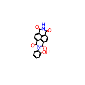 O=C1NC(=O)c2ccc3c4c(ccc1c24)C(=O)N(c1ccccc1O)C3=O